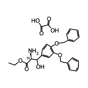 CCOC(=O)[C@@H](N)C(O)c1ccc(OCc2ccccc2)c(OCc2ccccc2)c1.O=C(O)C(=O)O